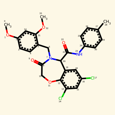 COc1ccc(CN2C(=O)COc3c(Cl)cc(Cl)cc3C2C(=O)Nc2ccc(C)cc2)c(OC)c1